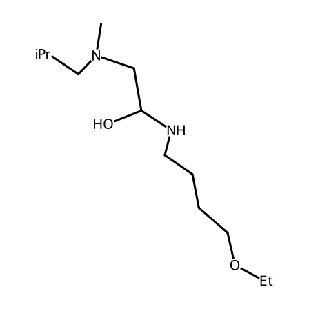 CCOCCCCNC(O)CN(C)CC(C)C